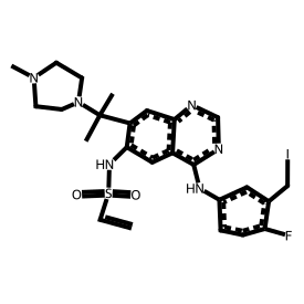 C=CS(=O)(=O)Nc1cc2c(Nc3ccc(F)c(CI)c3)ncnc2cc1C(C)(C)N1CCN(C)CC1